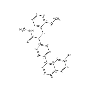 CNC(=O)C(Cc1ccccc1OC)c1ccc(-c2ccnc3ccc(F)cc23)cc1